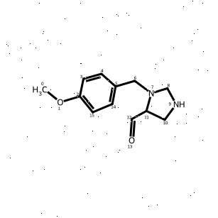 COc1ccc(CN2CNCC2C=O)cc1